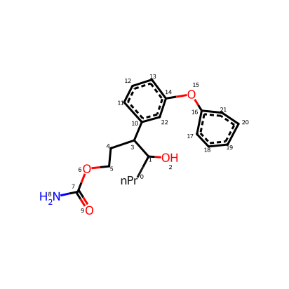 CCCC(O)C(CCOC(N)=O)c1cccc(Oc2ccccc2)c1